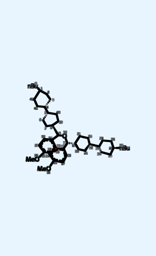 CCCC[C@H]1CC[C@H]([C@H]2CC[C@H](C(OC(c3ccc(OC)cc3)[C@H]3CC[C@H]([C@H]4CC[C@H](CCCC)CC4)CC3)c3ccc(OC)cc3)CC2)CC1